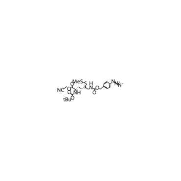 CSS[C@@H](CC[C@H](NC(=O)OC(C)(C)C)C(=O)OCC#N)CNC(=O)OCc1ccc(N=[N+]=[N-])cc1